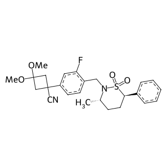 COC1(OC)CC(C#N)(c2ccc(CN3[C@@H](C)CC[C@H](c4ccccc4)S3(=O)=O)c(F)c2)C1